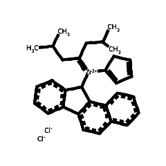 CC(C)C[C](CC(C)C)=[Zr+2]([C]1=CC=CC1)[CH]1c2ccccc2-c2ccc3ccccc3c21.[Cl-].[Cl-]